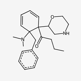 CCCC(=O)C1(C2CNCCO2)C=CC=CC1(Cc1ccccc1)N(C)C